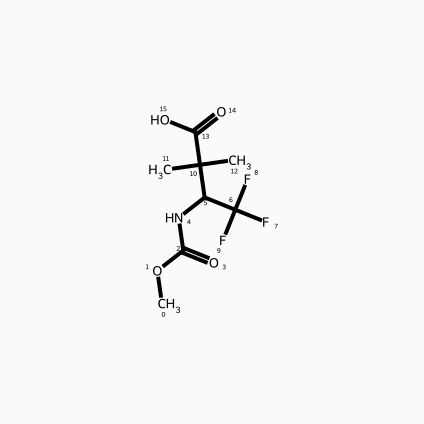 COC(=O)NC(C(F)(F)F)C(C)(C)C(=O)O